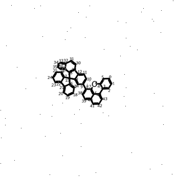 c1ccc2c(c1)Oc1c(-c3ccc4c(c3)C3(c5ccccc5-c5ccccc53)c3c-4ccc4ccccc34)ccc3cccc-2c13